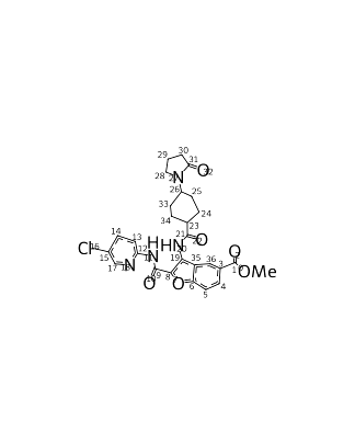 COC(=O)c1ccc2oc(C(=O)Nc3ccc(Cl)cn3)c(NC(=O)C3CCC(N4CCCC4=O)CC3)c2c1